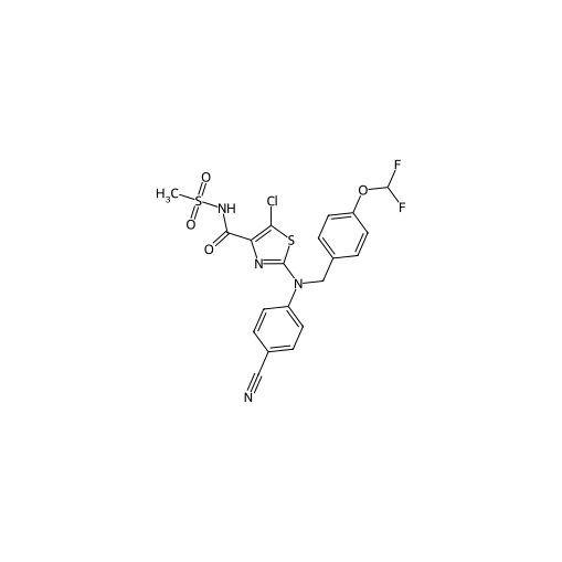 CS(=O)(=O)NC(=O)c1nc(N(Cc2ccc(OC(F)F)cc2)c2ccc(C#N)cc2)sc1Cl